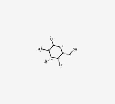 N[C@H]1C(O)O[C@H](CO)[C@H](O)[C@@H]1S